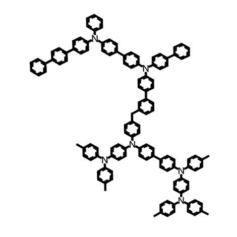 Cc1ccc(N(c2ccc(C)cc2)c2ccc(N(c3ccc(C)cc3)c3ccc(-c4ccc(N(c5ccc(Cc6cccc(-c7ccc(N(c8ccc(-c9ccccc9)cc8)c8ccc(-c9ccc(N(c%10ccccc%10)c%10ccc(-c%11ccc(-c%12ccccc%12)cc%11)cc%10)cc9)cc8)cc7)c6)cc5)c5ccc(N(c6ccc(C)cc6)c6ccc(C)cc6)cc5)cc4)cc3)cc2)cc1